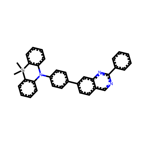 C[Si]1(C)c2ccccc2N(c2ccc(-c3ccc4cnc(-c5ccccc5)nc4c3)cc2)c2ccccc21